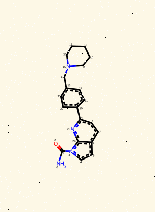 NC(=O)n1ccc2ccc(-c3ccc(CN4CCCCC4)cc3)nc21